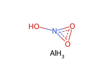 On1oo1.[AlH3]